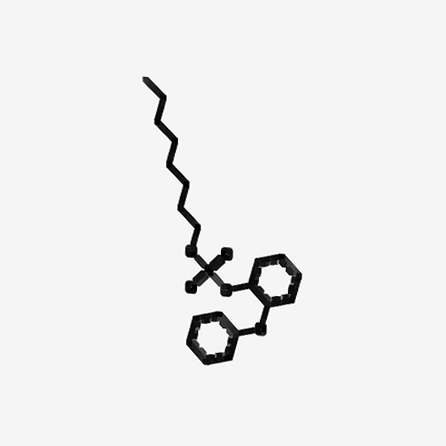 CCCCCCCCOS(=O)(=O)Oc1ccccc1Oc1ccccc1